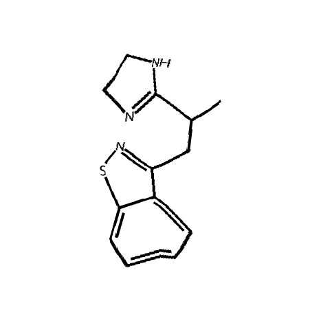 CC(Cc1nsc2ccccc12)C1=NCCN1